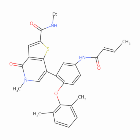 C/C=C/C(=O)Nc1ccc(Oc2c(C)cccc2C)c(-c2cn(C)c(=O)c3cc(C(=O)NCC)sc23)c1